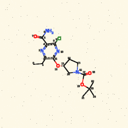 CCc1nc(C(N)=O)c(Cl)nc1O[C@@H]1CCN(C(=O)OC(C)(C)C)C1